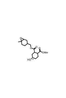 COC(=O)C1CC[C@@H](O)CC1C(=O)OCC1CCC2(C)OC2C1